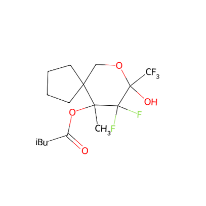 CCC(C)C(=O)OC1(C)C2(CCCC2)COC(O)(C(F)(F)F)C1(F)F